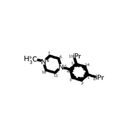 CC(C)c1ccc(N2CCN(C)CC2)c(C(C)C)c1